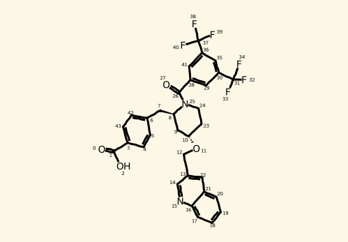 O=C(O)c1ccc(C[C@@H]2C[C@@H](OCc3cnc4ccccc4c3)CCN2C(=O)c2cc(C(F)(F)F)cc(C(F)(F)F)c2)cc1